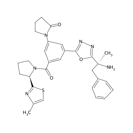 Cc1csc([C@H]2CCCN2C(=O)c2cc(-c3nnc([C@@](C)(N)Cc4ccccc4)o3)cc(N3CCCC3=O)c2)n1